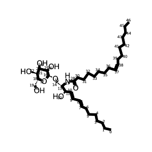 CCCCCCC/C=C/C=C/[C@@H](O)[C@H](CO[C@@H]1O[C@H](CO)[C@@H](O)C(O)C1O)NC(=O)CCCCCCC/C=C\CCCCCCCC